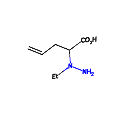 C=CCC(C(=O)O)N(N)CC